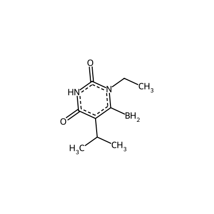 Bc1c(C(C)C)c(=O)[nH]c(=O)n1CC